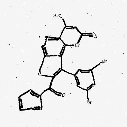 Cc1cc(=O)oc2c1ccc1oc(C(=O)c3ccccc3)c(-c3cc(Br)cc(Br)c3)c12